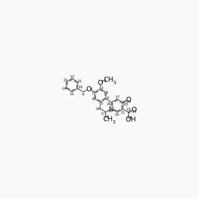 COc1cc2c(cc1OCc1ccccc1)CC(C)n1cc(C(=O)O)c(=O)cc1-2